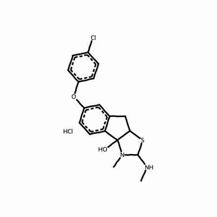 CNC1SC2Cc3cc(Oc4ccc(Cl)cc4)ccc3C2(O)N1C.Cl